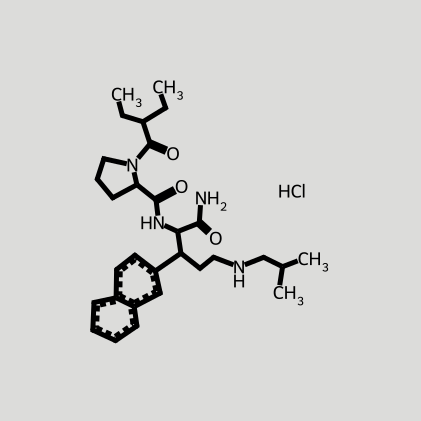 CCC(CC)C(=O)N1CCCC1C(=O)NC(C(N)=O)C(CCNCC(C)C)c1ccc2ccccc2c1.Cl